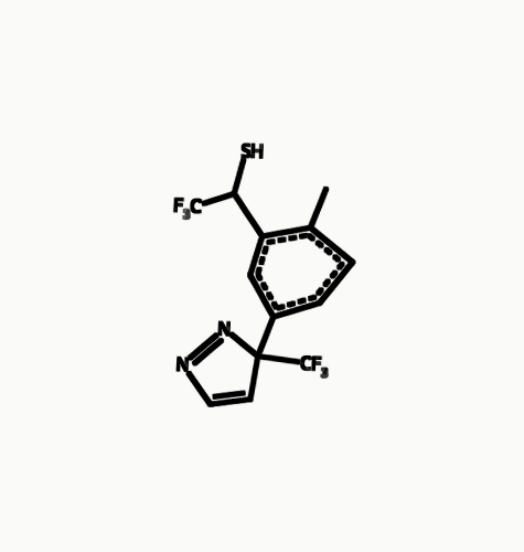 Cc1ccc(C2(C(F)(F)F)C=CN=N2)cc1C(S)C(F)(F)F